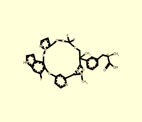 C[C@H](Cc1cccc(C2(C)CCC(F)(F)COc3ccnn3Cc3c(c(F)cc4[nH]ccc34)Oc3ccnc(c3)-c3nc2nn3C)c1)C(=O)O